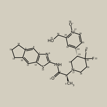 C[C@@H](C(=O)Nc1nc2cc3c(cc2s1)CCC3)N1CCC(F)(F)[C@@H](c2cc[n+]([O-])c(CO)c2)C1